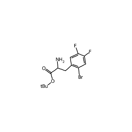 CC(C)(C)OC(=O)C(N)Cc1cc(F)c(F)cc1Br